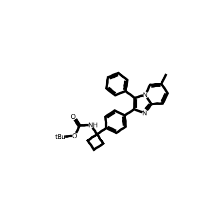 Cc1ccc2nc(-c3ccc(C4(NC(=O)OC(C)(C)C)CCC4)cc3)c(-c3ccccc3)n2c1